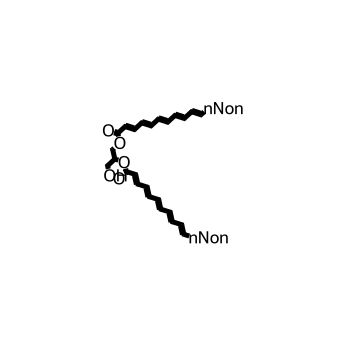 CCCCCCCCCC=CC=CC=CC=CC=CC(=O)OCC(CO)OC(=O)C=CC=CC=CC=CC=CCCCCCCCCC